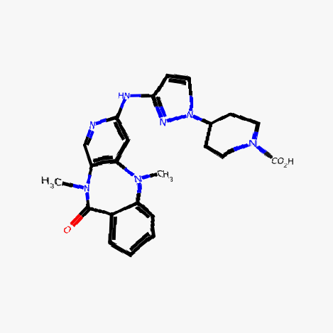 CN1C(=O)c2ccccc2N(C)c2cc(Nc3ccn(C4CCN(C(=O)O)CC4)n3)ncc21